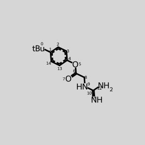 CC(C)(C)c1ccc(OC(=O)CNC(=N)N)cc1